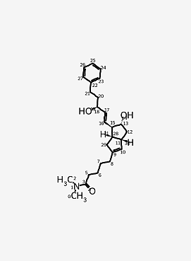 CN(C)C(=O)CCCCC1=C[C@H]2C[C@@H](O)[C@H](/C=C/[C@@H](O)CCc3ccccc3)[C@H]2C1